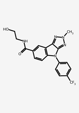 Cn1nc2c3cc(C(=O)NCCO)ccc3n(-c3ccc(C(F)(F)F)cc3)c2n1